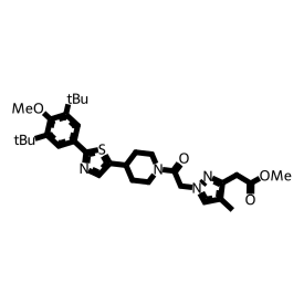 COC(=O)Cc1nn(CC(=O)N2CCC(c3cnc(-c4cc(C(C)(C)C)c(OC)c(C(C)(C)C)c4)s3)CC2)cc1C